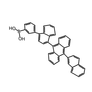 OB(O)c1cccc(-c2ccc(-c3c4ccccc4c(-c4ccc5ccccc5c4)c4ccccc34)c3ccccc23)c1